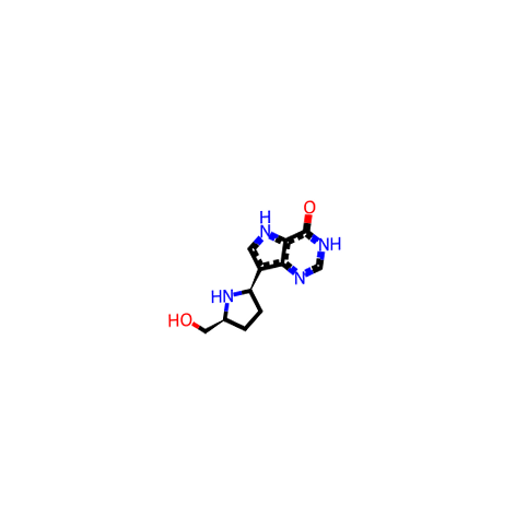 O=c1[nH]cnc2c([C@H]3CC[C@@H](CO)N3)c[nH]c12